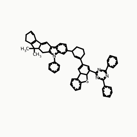 CC1(C)C2=C(C=CCC2)C2=Cc3c(n(-c4ccccc4)c4cc(C5C=C(C6=CC7c8ccccc8SC7C(c7nc(-c8ccccc8)nc(-c8ccccc8)n7)=C6)CCC5)ccc34)CC21